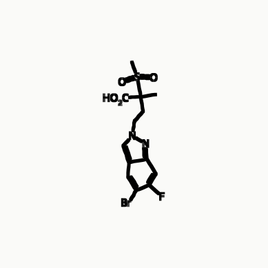 CC(CCn1cc2cc(Br)c(F)cc2n1)(C(=O)O)S(C)(=O)=O